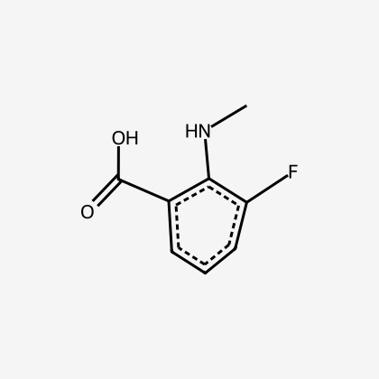 CNc1c(F)cccc1C(=O)O